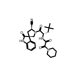 CC(C)(C)C[C@H](NC(=O)C(=O)N1CCCCC1)C(=O)N1C[C@]2(C[C@H]1C#N)C(=O)Nc1ccccc12